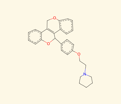 c1ccc2c(c1)OC(c1ccc(OCCN3CCCCC3)cc1)C1=C2COc2ccccc21